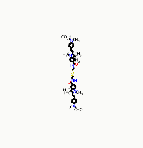 CN(CC=O)c1ccc(/C=C/C2=[N+](C)c3ccc(C(=O)NCCSSCCNC(=O)c4ccc5c(c4)C(C)(C)C(/C=C/c4ccc(N(C)CC(=O)O)cc4)N5C)cc3C2(C)C)cc1